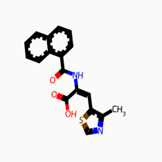 Cc1ncsc1/C=C(/NC(=O)c1cccc2ccccc12)C(=O)O